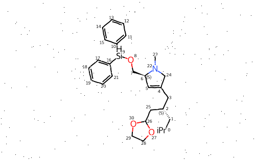 CC(C)C[C@@H](CC1=C[C@@H](CO[SiH](c2ccccc2)c2ccccc2)N(C)C1)CC1OCCO1